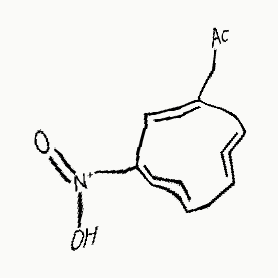 CC(=O)c1cccc([N+](=O)O)c1